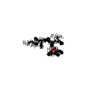 CC(C)(C)NC(=O)[C@@H]1CN(Cc2cccnc2)CCN1C[C@@H](O)C[C@@H](Cc1ccccc1)C(=O)N[C@H]1c2ccccc2C[C@H]1O.CC(C)(C)NC(=O)[C@@H]1C[C@@H]2CCCC[C@@H]2CN1C[C@@H](O)[C@H](Cc1ccccc1)NC(=O)[C@H](CC(N)=O)NC(=O)c1ccc2ccccc2n1.CC(C)c1nc(CN(C)C(=O)N[C@H](C(=O)N[C@@H](Cc2ccccc2)C[C@H](O)[C@H](Cc2ccccc2)NC(=O)OCc2cncs2)C(C)C)cs1